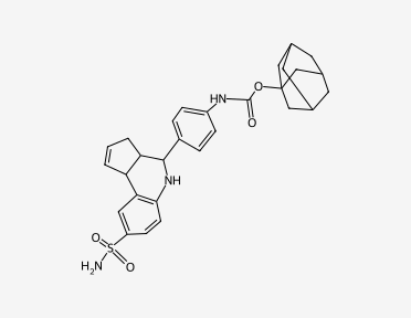 NS(=O)(=O)c1ccc2c(c1)C1C=CCC1C(c1ccc(NC(=O)OC34CC5CC(CC(C5)C3)C4)cc1)N2